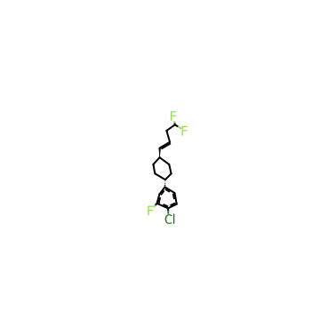 Fc1cc([C@H]2CC[C@H](C=CCC(F)F)CC2)ccc1Cl